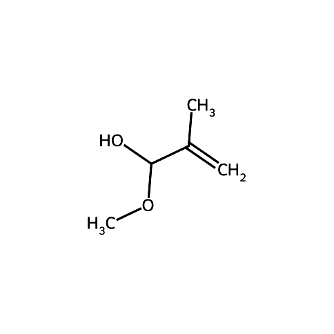 C=C(C)C(O)OC